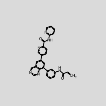 C=CC(=O)Nc1cccc(-c2cc(-c3ccc(C(=O)Nc4ccccn4)nc3)cc3cncnc23)c1